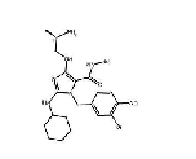 CCNC(=O)c1c(NC[C@@H](C)N)nc(NC2CCCCC2)n1Cc1ccc(N=O)c(Br)c1